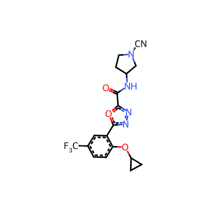 N#CN1CCC(NC(=O)c2nnc(-c3cc(C(F)(F)F)ccc3OC3CC3)o2)C1